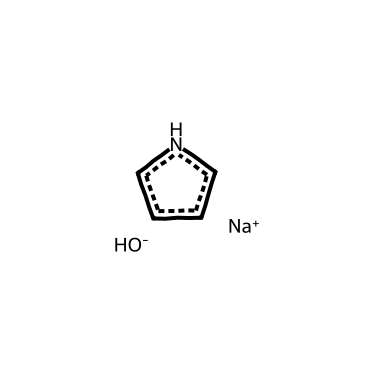 [Na+].[OH-].c1cc[nH]c1